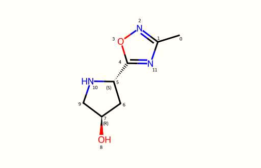 Cc1noc([C@@H]2C[C@@H](O)CN2)n1